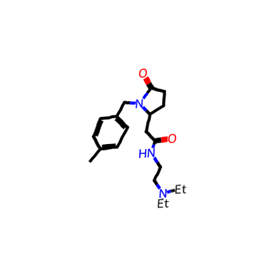 CCN(CC)CCNC(=O)CC1CCC(=O)N1Cc1ccc(C)cc1